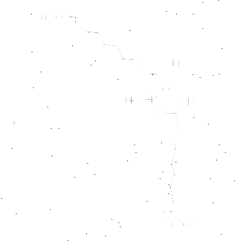 CCCCCCCCCCCCCCCCOSC(C)OP(O)OC(C)SOCCCCCCCCCCCCCCCC